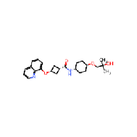 CC(C)(O)CO[C@H]1CC[C@H](NC(=O)[C@H]2C[C@H](Oc3cccc4cccnc34)C2)CC1